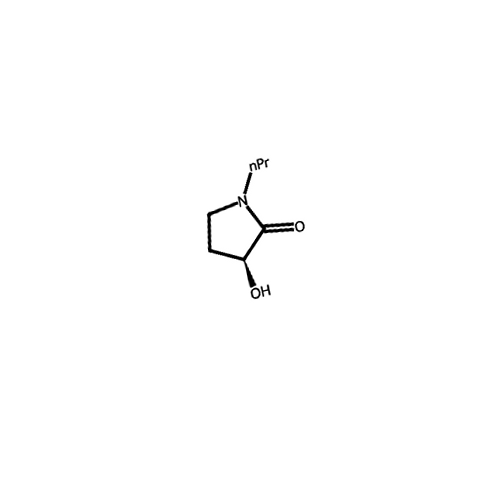 CCCN1CC[C@H](O)C1=O